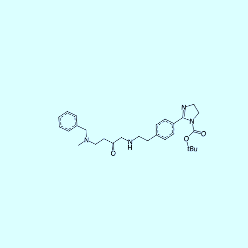 CN(CCC(=O)CNCCc1ccc(C2=NCCN2C(=O)OC(C)(C)C)cc1)Cc1ccccc1